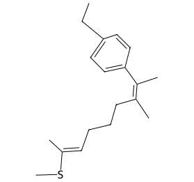 CCc1ccc(/C(C)=C(/C)CCC/C=C(\C)SC)cc1